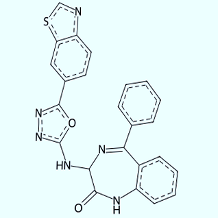 O=C1Nc2ccccc2C(c2ccccc2)=NC1Nc1nnc(-c2ccc3ncsc3c2)o1